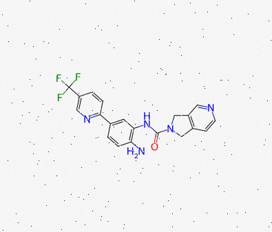 Nc1ccc(-c2ccc(C(F)(F)F)cn2)cc1NC(=O)N1Cc2ccncc2C1